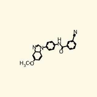 COC1=CC2N=CN(c3ccc(NC(=O)c4cccc(C#N)c4)cc3)C2C=C1